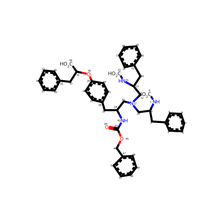 O=C(O)NC(Cc1ccccc1)CN(CC(Cc1ccccc1)NC(=O)O)CC(Cc1ccc(OC(Cc2ccccc2)C(=O)O)cc1)NC(=O)OCc1ccccc1